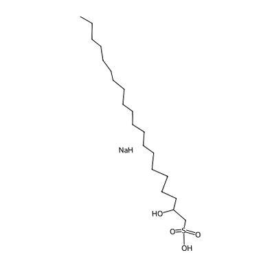 CCCCCCCCCCCCCCCCCCC(O)CS(=O)(=O)O.[NaH]